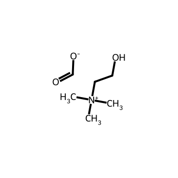 C[N+](C)(C)CCO.O=C[O-]